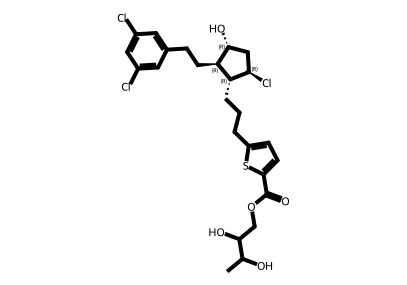 CC(O)C(O)COC(=O)c1ccc(CCC[C@@H]2[C@@H](CCc3cc(Cl)cc(Cl)c3)[C@H](O)C[C@H]2Cl)s1